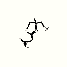 CCCC(O)CC1=NC(C)(CO)CO1